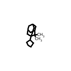 CC1(C)C2CC3CC(C2)CC1(C1CCCC1)C3